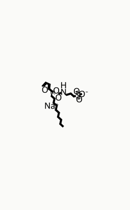 CCCCCCCCCC[C@H](OC(=O)NCCCS(=O)(=O)[O-])c1ccco1.[Na+]